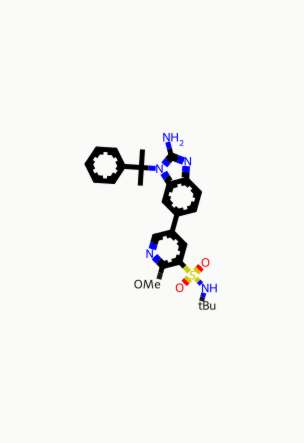 COc1ncc(-c2ccc3nc(N)n(C(C)(C)c4ccccc4)c3c2)cc1S(=O)(=O)NC(C)(C)C